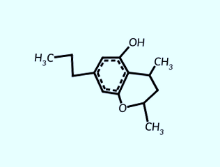 CCCc1cc(O)c2c(c1)OC(C)CC2C